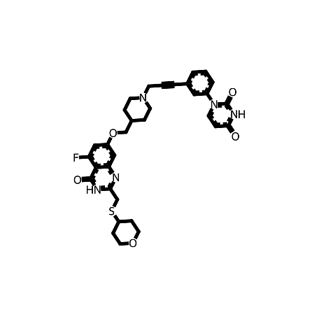 O=c1ccn(-c2cccc(C#CCN3CCC(COc4cc(F)c5c(=O)[nH]c(CSC6CCOCC6)nc5c4)CC3)c2)c(=O)[nH]1